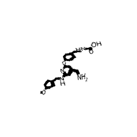 COc1ccc(CNc2cc(CN)cc(Oc3ccc(CCNC(=O)O)cc3)n2)cc1